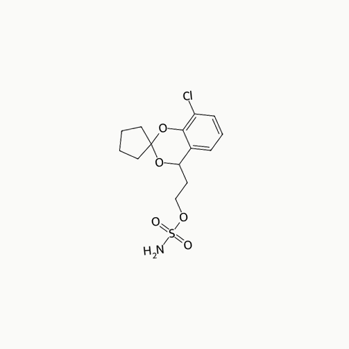 NS(=O)(=O)OCCC1OC2(CCCC2)Oc2c(Cl)cccc21